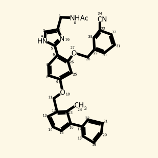 CC(=O)NCc1c[nH]c(-c2ccc(OCc3cccc(-c4ccccc4)c3C)cc2OCc2cccc(C#N)c2)n1